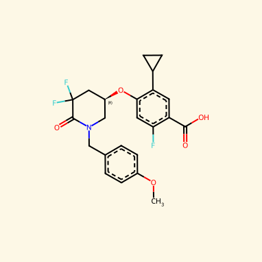 COc1ccc(CN2C[C@H](Oc3cc(F)c(C(=O)O)cc3C3CC3)CC(F)(F)C2=O)cc1